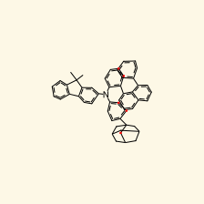 CC1(C)c2ccccc2-c2ccc(N(c3ccc(C45CC6CC(CC(C6)C4)C5)cc3)c3ccccc3-c3cccc4cccc(-c5ccccc5)c34)cc21